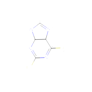 SC1=NC2NC=NC2C(S)=N1